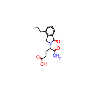 CCCc1cccc2c1CN(C(CCC(=O)O)C(N)=O)C2=O